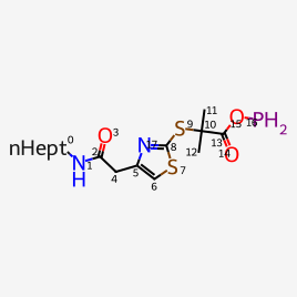 CCCCCCCNC(=O)Cc1csc(SC(C)(C)C(=O)OP)n1